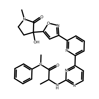 CC(Nc1nccc(-c2cccc(-c3cc(C4(O)CCN(C)C4=O)on3)n2)n1)C(=O)N(C)c1ccccc1